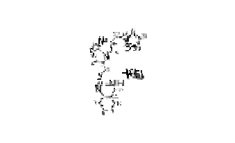 C1=C(CSC2=Nc3ccccc3CN2)N2CC(Cc3cccs3)N=C2S1.Cl.Cl